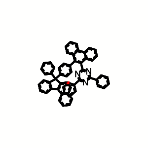 c1ccc(-c2nc(-c3ccccc3)nc(-c3c(-c4ccc(C5(c6ccccc6)c6ccccc6-c6c5ccc5ccccc65)cc4)c4ccccc4c4ccccc34)n2)cc1